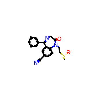 C[S+]([O-])CCN1C(=O)CN=C(c2ccccc2)c2cc(C#N)ccc21